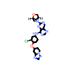 Clc1cc(Nc2ncnc3cnc(N4C[C@H]5C[C@@H]4CO5)nc23)ccc1Oc1ccn2ncnc2c1